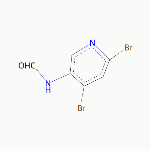 O=CNc1cnc(Br)cc1Br